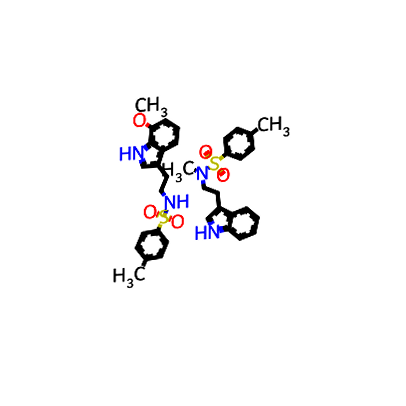 COc1cccc2c(CCNS(=O)(=O)c3ccc(C)cc3)c[nH]c12.Cc1ccc(S(=O)(=O)N(C)CCc2c[nH]c3ccccc23)cc1